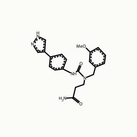 COc1cccc(CN(CCC(N)=O)C(=O)Nc2ccc(-c3cn[nH]c3)cc2)c1